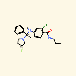 CCCNC(=O)c1ccc(N(C)[C@@](C)(c2ccccc2)N2CC[C@H](F)C2)cc1Cl